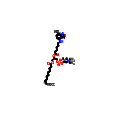 CCCCCCCC/C=C\CCCCCCCC(=O)OC[C@H](COP(=O)([O-])OCC[N+](C)(C)C)OC(=O)CCCCCNc1ccc([N+](=O)[O-])c2nonc12